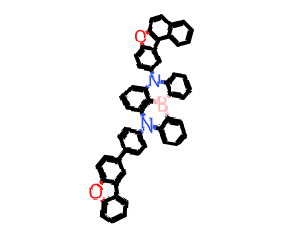 c1ccc2c(c1)B1c3ccccc3N(c3ccc4oc5ccc6ccccc6c5c4c3)c3cccc(c31)N2c1ccc(-c2ccc3oc4ccccc4c3c2)cc1